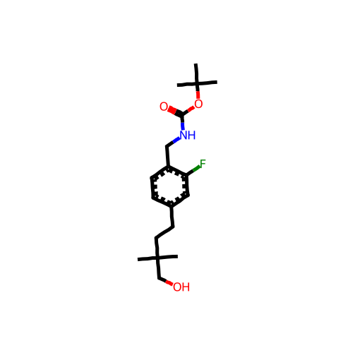 CC(C)(CO)CCc1ccc(CNC(=O)OC(C)(C)C)c(F)c1